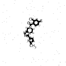 Cn1ccc(-c2nnc3n2CCN(C(=O)c2ccc(F)cc2Cl)C3)n1